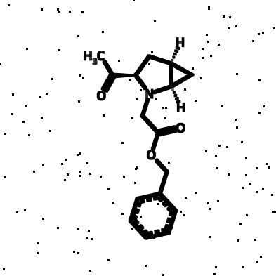 CC(=O)[C@H]1C[C@H]2C[C@H]2N1CC(=O)OCc1ccccc1